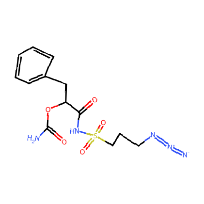 [N-]=[N+]=NCCCS(=O)(=O)NC(=O)C(Cc1ccccc1)OC(N)=O